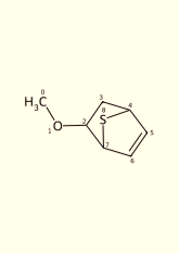 COC1CC2C=CC1S2